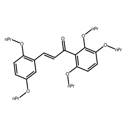 CCCOc1ccc(OCCC)c(/C=C/C(=O)c2c(OCCC)ccc(OCCC)c2OCCC)c1